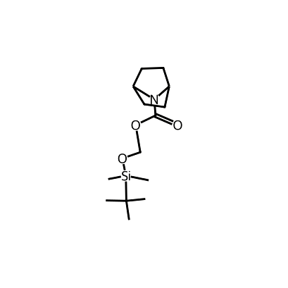 CC(C)(C)[Si](C)(C)OCOC(=O)N1C2CCC1CC2